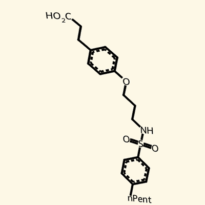 CCCCCc1ccc(S(=O)(=O)NCCCOc2ccc(CCC(=O)O)cc2)cc1